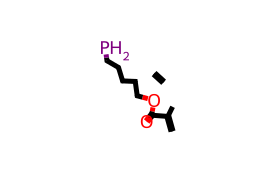 C=C.C=C(C)C(=O)OCCCCCP